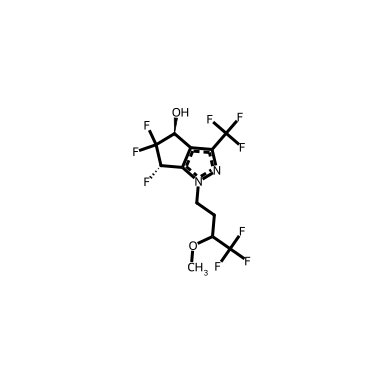 COC(CCn1nc(C(F)(F)F)c2c1[C@H](F)C(F)(F)[C@H]2O)C(F)(F)F